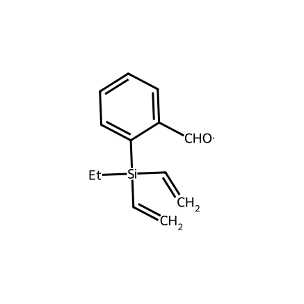 C=C[Si](C=C)(CC)c1ccccc1[C]=O